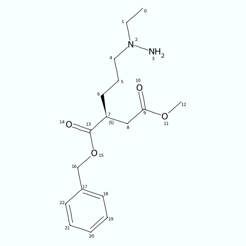 CCN(N)CCC[C@@H](CC(=O)OC)C(=O)OCc1ccccc1